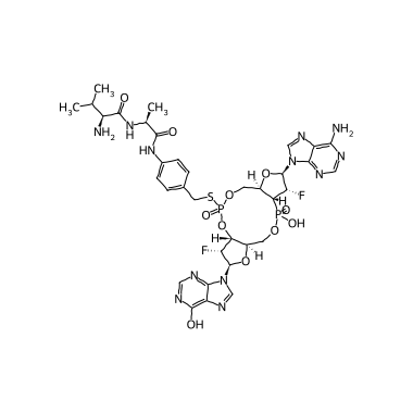 CC(C)[C@H](N)C(=O)N[C@@H](C)C(=O)Nc1ccc(CSP2(=O)OC[C@H]3O[C@@H](n4cnc5c(N)ncnc54)[C@H](F)[C@@H]3P(=O)(O)OC[C@H]3O[C@@H](n4cnc5c(O)ncnc54)[C@H](F)[C@@H]3O2)cc1